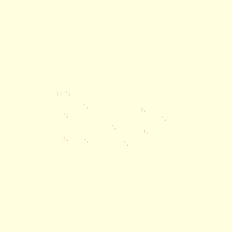 CCOc1nc(N)nc2[nH]cnc12.Nc1nc(Cl)c2nc[nH]c2n1